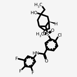 CCC1(O)CC2C(S(=O)(=O)c3cc(C(=O)Nc4cc(F)c(F)c(F)c4)ccc3Cl)[C@@H](C[C@@H]2C)C1